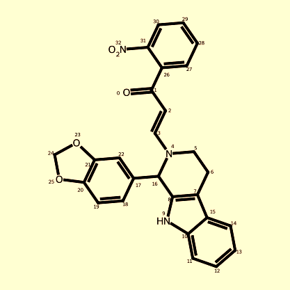 O=C(/C=C/N1CCc2c([nH]c3ccccc23)C1c1ccc2c(c1)OCO2)c1ccccc1[N+](=O)[O-]